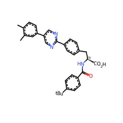 Cc1ccc(-c2cnc(-c3ccc(C[C@H](NC(=O)c4ccc(C(C)(C)C)cc4)C(=O)O)cc3)nc2)cc1C